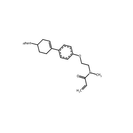 C=CC(=O)N(C)CCOc1ccc(C2=CCC(CCCCC)CC2)cc1